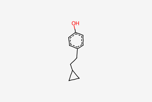 Oc1ccc(CCC2CC2)cc1